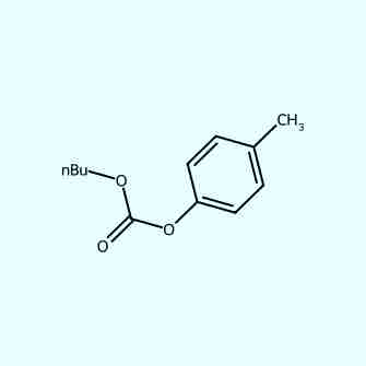 CCCCOC(=O)Oc1ccc(C)cc1